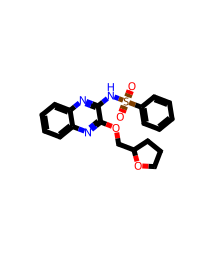 O=S(=O)(Nc1nc2ccccc2nc1OCC1CCCO1)c1ccccc1